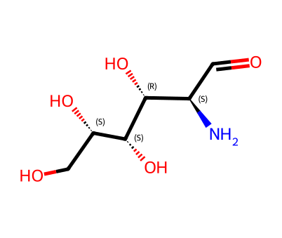 N[C@H](C=O)[C@@H](O)[C@H](O)[C@@H](O)CO